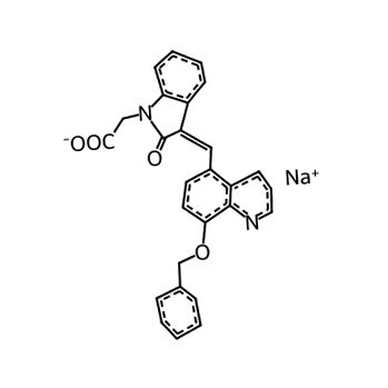 O=C([O-])CN1C(=O)C(=Cc2ccc(OCc3ccccc3)c3ncccc23)c2ccccc21.[Na+]